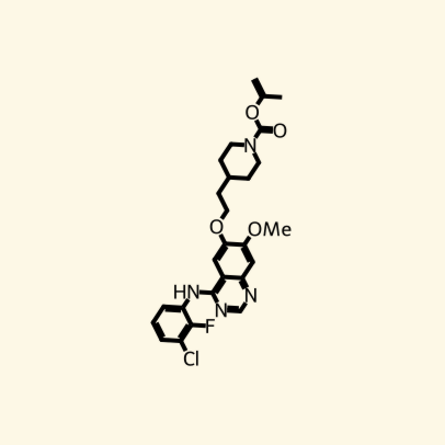 C=C(C)OC(=O)N1CCC(CCOc2cc3c(Nc4cccc(Cl)c4F)ncnc3cc2OC)CC1